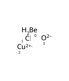 [BeH2].[C].[Cu+2].[O-2]